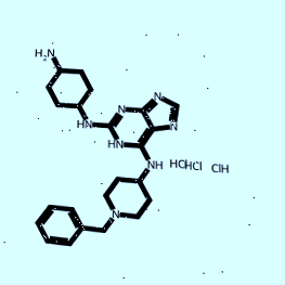 Cl.Cl.Cl.NC1CCC(Nc2nc3ncnc-3c(NC3CCN(Cc4ccccc4)CC3)[nH]2)CC1